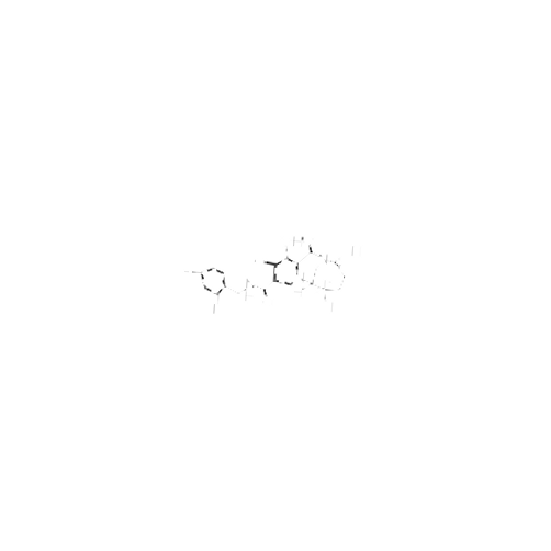 C[C@@H]1CC[C@H](C)N2C[C@H]1n1cc(C(=O)NCc3ccc(F)cc3F)c(=O)c(O)c1C2=O